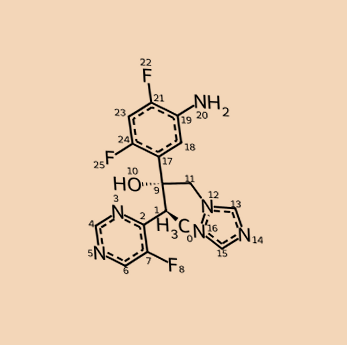 C[C@@H](c1ncncc1F)[C@](O)(Cn1cncn1)c1cc(N)c(F)cc1F